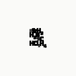 C.Cl.N.[SrH2]